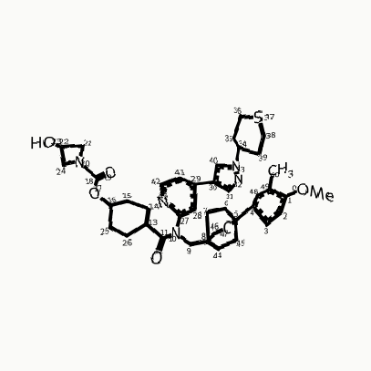 COc1ccc(C23CCC(CN(C(=O)C4CCC(OC(=O)N5CC(O)C5)CC4)c4cc(-c5cnn(C6CCSCC6)c5)ccn4)(CC2)CC3)cc1C